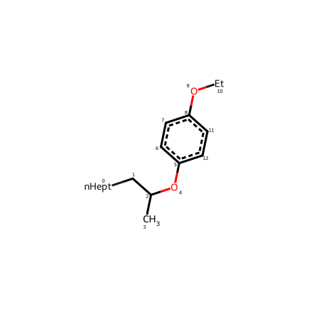 CCCCCCCCC(C)Oc1ccc(OCC)cc1